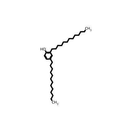 CCCCCCCCCCCCCc1ccc(O)c(CCCCCCCCCCCCC)c1